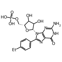 CCc1ccc(-c2nc3c(=O)[nH]c(N)nc3n2[C@@H]2O[C@H](COP(=O)(O)O)C(O)C2O)cc1